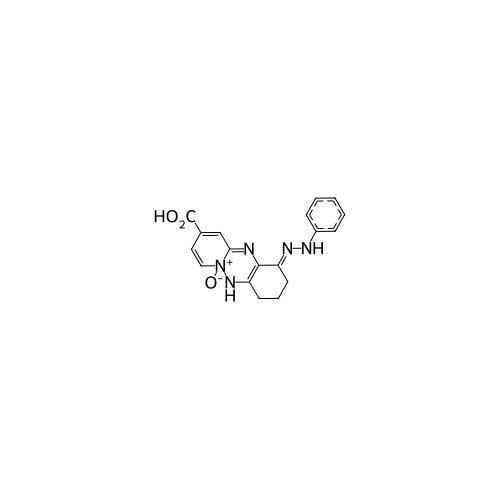 O=C(O)C1=CC2=NC3=C(CCCC3=NNc3ccccc3)N[N+]2([O-])C=C1